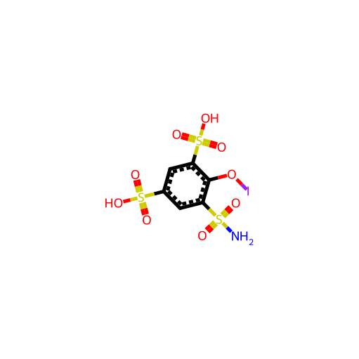 NS(=O)(=O)c1cc(S(=O)(=O)O)cc(S(=O)(=O)O)c1OI